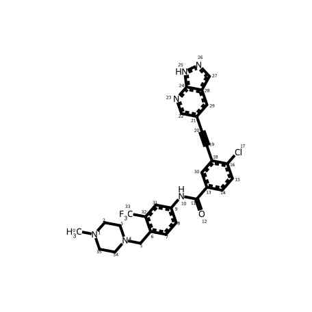 CN1CCN(Cc2ccc(NC(=O)c3ccc(Cl)c(C#Cc4cnc5[nH]ncc5c4)c3)cc2C(F)(F)F)CC1